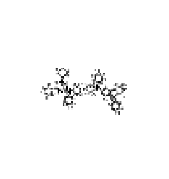 c1ccc(-c2cc(-c3ccccc3)nc(-n3c4ccccc4c4cc(-c5ccc6c(c5)c5ccccc5n6-c5ccc6c(c5)c5ccccc5n6-c5ccccc5)ccc43)n2)cc1